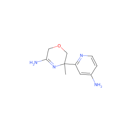 CC1(c2cc(N)ccn2)COCC(N)=N1